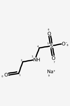 O=CCNCS(=O)(=O)[O-].[Na+]